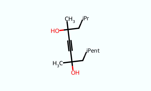 [CH2]CCC(C)CC(C)(O)C#CC(C)(O)CC(C)C